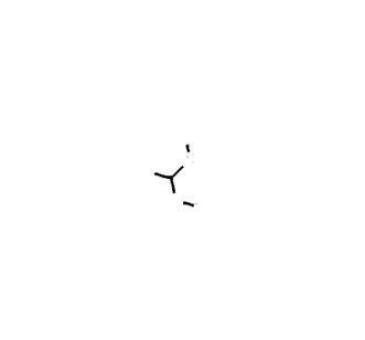 CCOC(C)NO